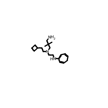 CC(C)(CN)CN(CCNC1=CC=CCC=C1)CCC1CCC1